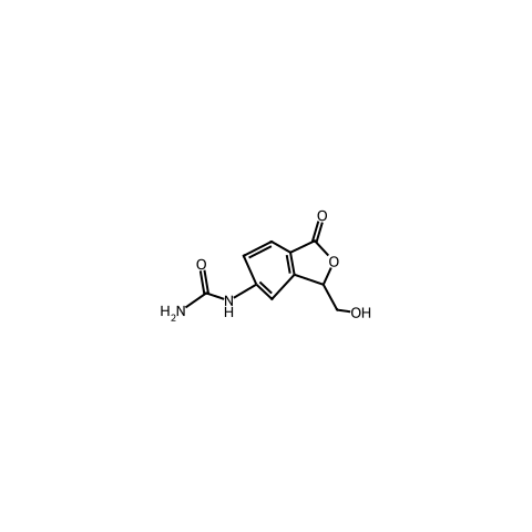 NC(=O)Nc1ccc2c(c1)C(CO)OC2=O